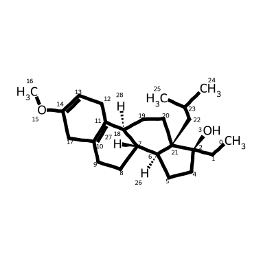 CC[C@]1(O)CC[C@H]2[C@@H]3CCC4=C(CC=C(OC)C4)[C@H]3CC[C@@]21CC(C)C